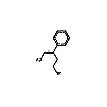 CC(C)CC/C(=C\N)c1ccccc1